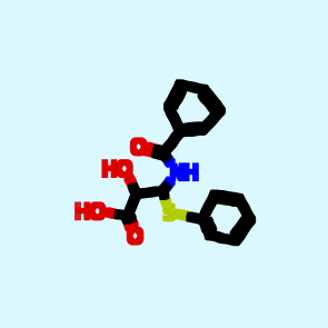 O=C(NC(Sc1ccccc1)C(O)C(=O)O)c1ccccc1